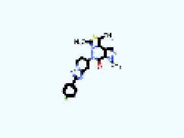 Cc1nc(-c2cnn(C)c2C(=O)NC2CCn3nc(-c4ccc(F)cc4)nc3C2)c(C)s1